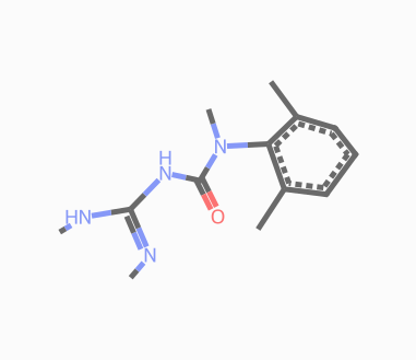 CN=C(NC)NC(=O)N(C)c1c(C)cccc1C